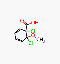 COC1(Cl)C=CC=CC1(Cl)C(=O)O